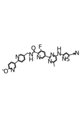 COc1ccc(-c2ccc(CNC(=O)c3ncc(-c4nc(C)cc(Nc5cc(C#N)sn5)n4)cc3F)cn2)cn1